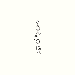 O=C(CN1CCc2cc(-c3ccc(C(F)(F)F)nc3)ccc2C1)N1CCN(C2CCC2)CC1